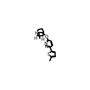 Cc1ccc(-c2ccc(O[C@@H]3C4CCN(CC4)[C@H]3C)nn2)s1